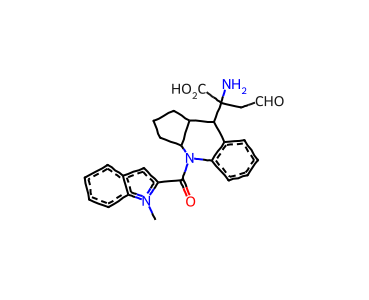 Cn1c(C(=O)N2c3ccccc3C(C(N)(CC=O)C(=O)O)C3CCCC32)cc2ccccc21